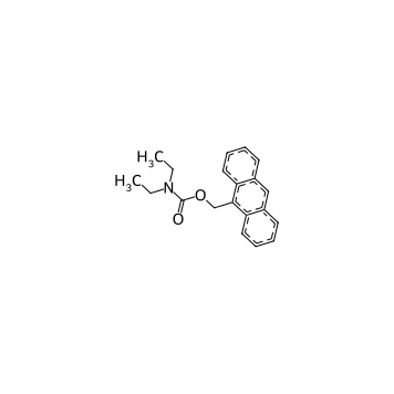 CCN(CC)C(=O)OCc1c2ccccc2cc2ccccc12